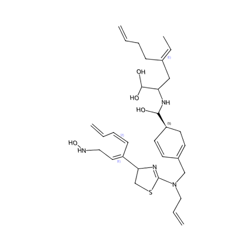 C=C/C=C\C(=C/CNO)C1CSC(N(CC=C)CC2=CC[C@H](C(O)NC(C/C(=C/C)CCC=C)C(O)O)C=C2)=N1